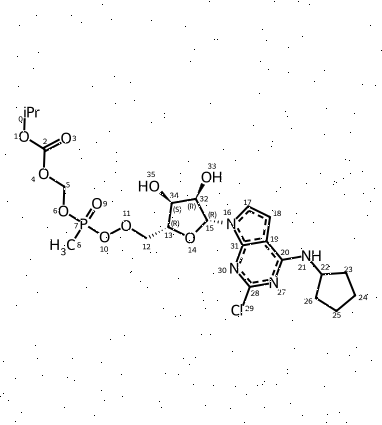 CC(C)OC(=O)OCOP(C)(=O)OOC[C@H]1O[C@@H](n2ccc3c(NC4CCCC4)nc(Cl)nc32)[C@H](O)[C@@H]1O